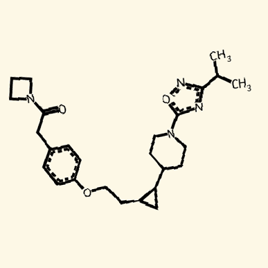 CC(C)c1noc(N2CCC(C3C[C@H]3CCOc3ccc(CC(=O)N4CCC4)cc3)CC2)n1